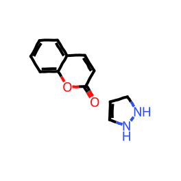 C1=CNNC1.O=c1ccc2ccccc2o1